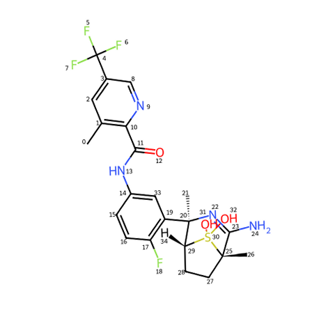 Cc1cc(C(F)(F)F)cnc1C(=O)Nc1ccc(F)c([C@@]2(C)N=C(N)[C@]3(C)CC[C@H]2S3(O)O)c1